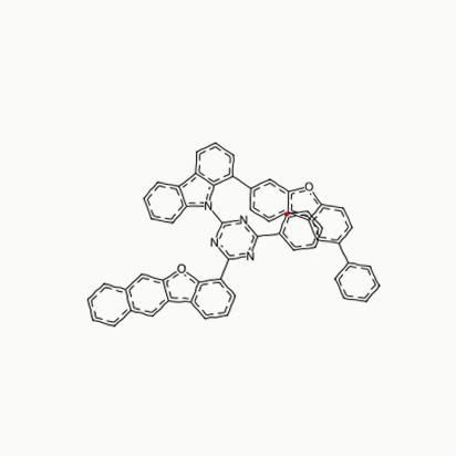 c1ccc(-c2ccc3oc4cc(-c5cccc6c7ccccc7n(-c7nc(-c8ccccc8)nc(-c8cccc9c8oc8cc%10ccccc%10cc89)n7)c56)ccc4c3c2)cc1